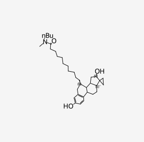 CCCCN(C)C(=O)CCCCCCCCCC[C@@H]1Cc2cc(O)ccc2C2CC[C@@]3(C)C(C[C@@H](O)C34CC4)C21